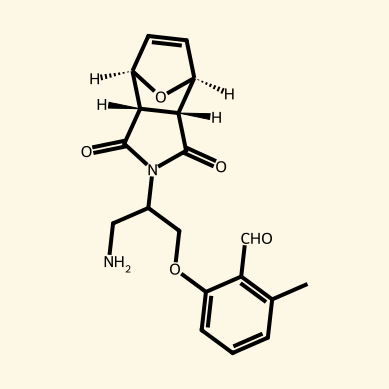 Cc1cccc(OCC(CN)N2C(=O)[C@@H]3[C@H](C2=O)[C@H]2C=C[C@@H]3O2)c1C=O